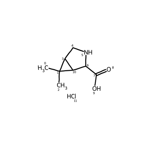 CC1(C)C2CNC(C(=O)O)C21.Cl